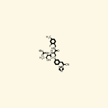 Cc1ccc(CNC(=O)C(COc2cccc(C=C(C#N)n3cncn3)c2)NC(=O)[C@@H](NC(=O)C(C)(C)C)[C@@H](C)O)c(F)c1